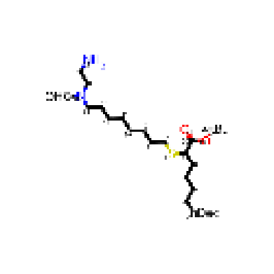 CCCCCCCCCCCCCCC(SCCCCCCCCN(C=O)CCN)C(=O)OC(C)(C)C